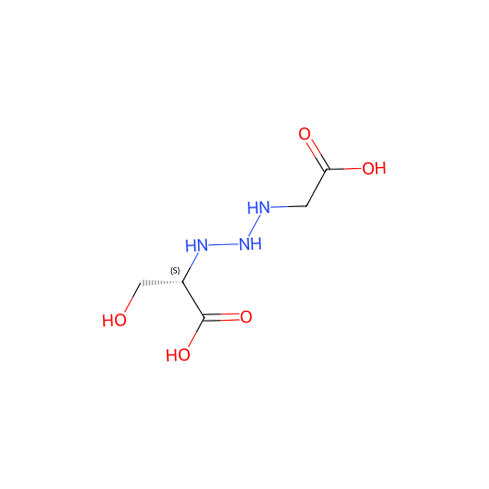 O=C(O)CNNN[C@@H](CO)C(=O)O